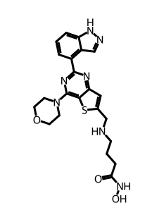 O=C(CCCNCc1cc2nc(-c3cccc4[nH]ncc34)nc(N3CCOCC3)c2s1)NO